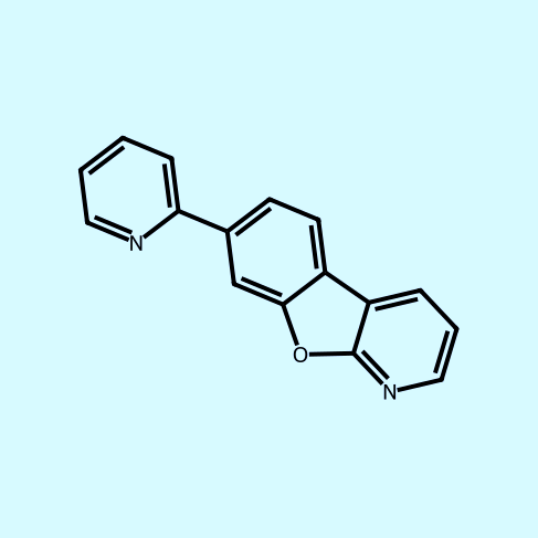 c1ccc(-c2ccc3c(c2)oc2ncccc23)nc1